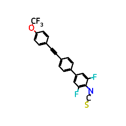 Fc1cc(-c2ccc(C#Cc3ccc(OC(F)(F)F)cc3)cc2)cc(F)c1N=C=S